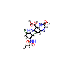 CCCS(=O)(=O)Nc1ccc(F)c(Nc2ccc3ncc(OC)nc3c2C(=O)OC)c1F